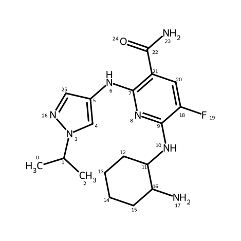 CC(C)n1cc(Nc2nc(NC3CCCCC3N)c(F)cc2C(N)=O)cn1